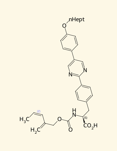 C=C(/C=C\C)COC(=O)N[C@@H](Cc1ccc(-c2ncc(-c3ccc(OCCCCCCC)cc3)cn2)cc1)C(=O)O